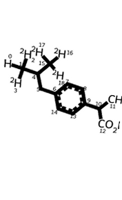 [2H]C([2H])([2H])C(Cc1ccc(C(C)C(=O)O)cc1)C([2H])([2H])[2H]